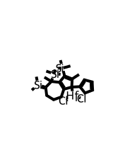 CC1=C([Si](C)(C)C)C2=C(CCCC(=[Si](C)C)C2(C)[Si](C)(C)C)[C]1(C1=CC=CC1)[Hf]([Cl])[Cl]